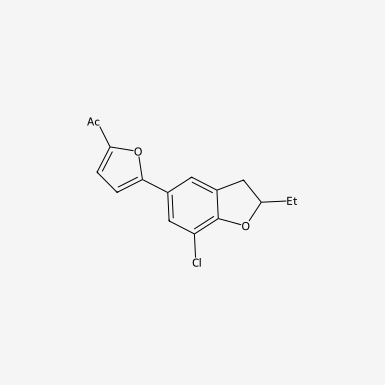 CCC1Cc2cc(-c3ccc(C(C)=O)o3)cc(Cl)c2O1